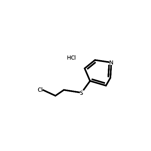 Cl.ClCCSc1ccncc1